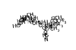 CC1=C(C)C(=O)C(C(C)(C)CC(=O)N(C)CCN(CCCC(=O)NCCCCC(NC(=O)CC[C@@H](C)[C@H]2CC[C@H]3[C@@H]4CC[C@@H]5C[C@H](O)CC[C@]5(C)[C@H]4CC[C@]23C)C(=O)O)C(=O)Oc2ccc3nc(C#N)sc3c2)=C(C)C1=O